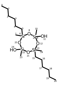 CCCCCC[Si]1(C)O[Si](C)(O)O[Si](C)(CCCCCC)O[Si](C)(O)O1